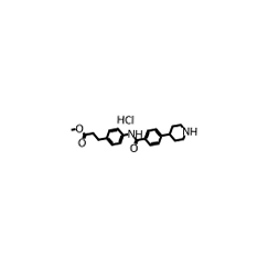 COC(=O)CCc1ccc(NC(=O)c2ccc(C3CCNCC3)cc2)cc1.Cl